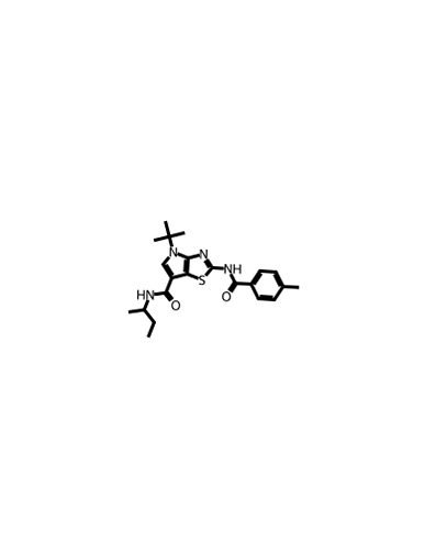 CCC(C)NC(=O)c1cn(C(C)(C)C)c2nc(NC(=O)c3ccc(C)cc3)sc12